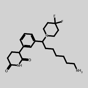 NCCCCCCC(c1cccc(C2CCC(=O)NC2=O)c1)N1CCC(F)(F)CC1